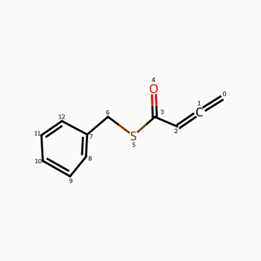 C=C=CC(=O)SCc1ccccc1